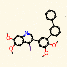 COc1cc2ncc(-c3cc(OC)c(OC)c(-c4cccc(-c5ccccc5)c4)c3)c(I)c2cc1OC